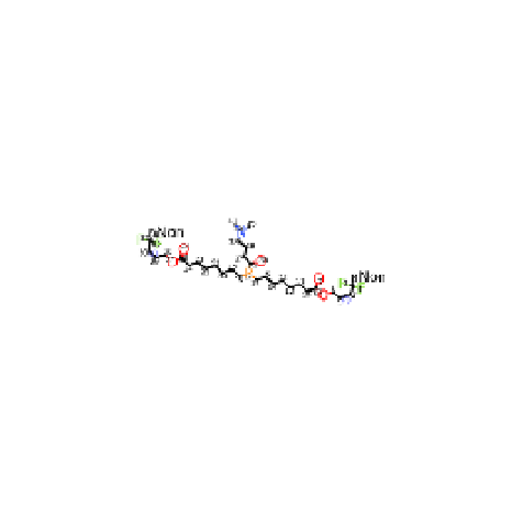 CCCCCCCCCC(F)(F)/C=C\COC(=O)CCCCCCCP(CCCCCCCC(=O)OC/C=C\C(F)(F)CCCCCCCCC)C(=O)CCCN(C)C